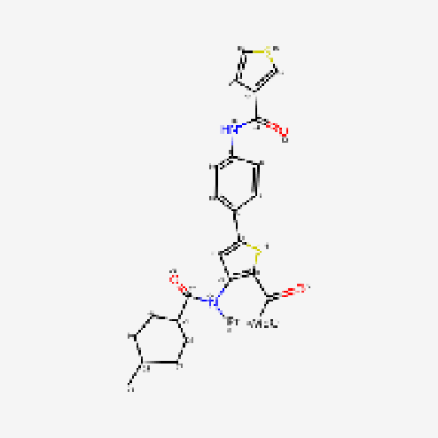 COC(=O)c1sc(-c2ccc(NC(=O)c3ccsc3)cc2)cc1N(C(=O)C1CCC(C)CC1)C(C)C